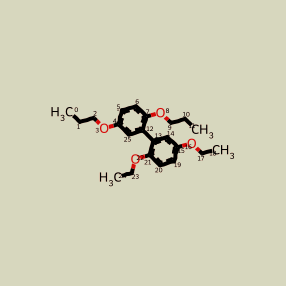 CCCOc1[c]cc(OCCC)c(-c2cc(OCC)ccc2OCC)c1